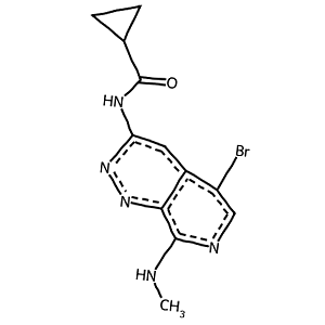 CNc1ncc(Br)c2cc(NC(=O)C3CC3)nnc12